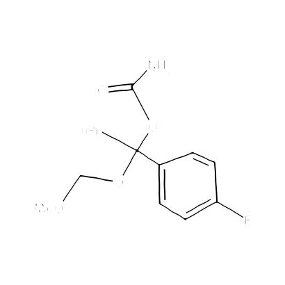 CCCC(OCOC)(OC(N)=O)c1ccc(F)cc1